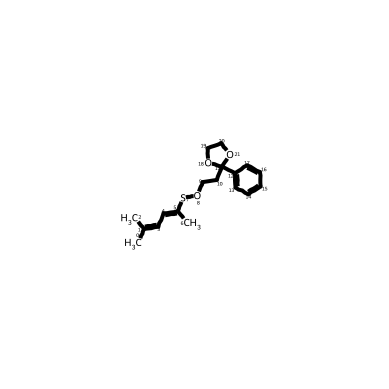 CC(C)=C/C=C(\C)SOCCC1(c2ccccc2)OCCO1